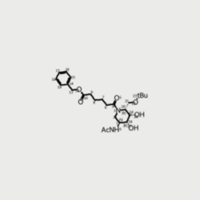 CC(=O)N[C@H]1CN(C(=O)CCCCC(=O)OCc2ccccc2)[C@H](COC(C)(C)C)[C@H](O)[C@@H]1O